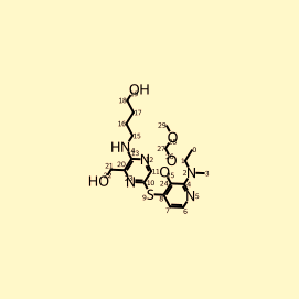 CCN(C)c1nccc(Sc2cnc(NCCCCO)c(CO)n2)c1OOCOC